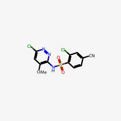 COc1cc(Cl)nnc1NS(=O)(=O)c1ccc(C#N)cc1Cl